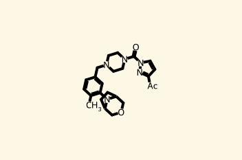 CC(=O)c1ccn(C(=O)N2CCN(Cc3ccc(C)c(N4C5CCC4COC5)c3)CC2)n1